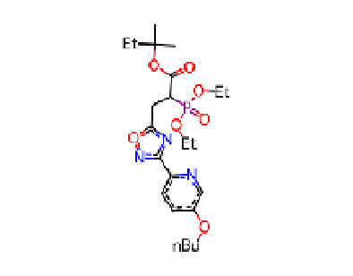 CCCCOc1ccc(-c2noc(CC(C(=O)OC(C)(C)CC)P(=O)(OCC)OCC)n2)nc1